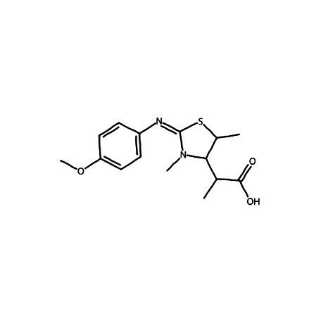 COc1ccc(N=C2SC(C)C(C(C)C(=O)O)N2C)cc1